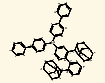 c1ccc(-c2ccc(N(c3ccc(-c4ccccc4)cc3)c3ccc(-c4ccccc4C4C5CC6CC(C5)CC4C6)c(C4C5CC6CC(C5)CC4C6)c3)cc2)cc1